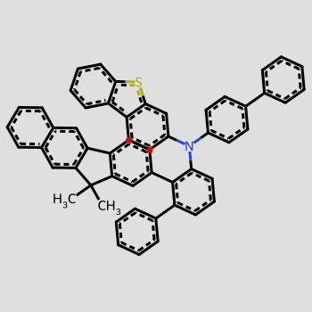 CC1(C)c2cc(-c3c(-c4ccccc4)cccc3N(c3ccc(-c4ccccc4)cc3)c3ccc4c(c3)sc3ccccc34)ccc2-c2cc3ccccc3cc21